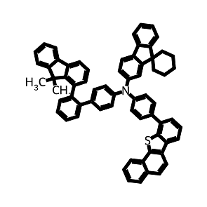 CC1(C)c2ccccc2-c2cccc(-c3ccccc3-c3ccc(N(c4ccc(-c5cccc6c5sc5c7ccccc7ccc65)cc4)c4ccc5c(c4)C4(CCCCC4)c4ccccc4-5)cc3)c21